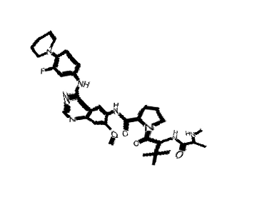 CNC(C)C(=O)NC(C(=O)N1CCCC1C(=O)Nc1cc2c(Nc3ccc(N4CCCCC4)c(F)c3)ncnc2cc1OC)C(C)(C)C